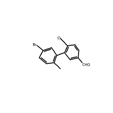 Cc1ccc(Br)cc1-c1cc(C=O)ccc1Cl